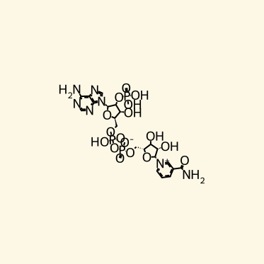 NC(=O)c1ccc[n+]([C@@H]2O[C@H](COP(=O)([O-])OP(=O)(O)OC[C@H]3O[C@@H](n4cnc5c(N)ncnc54)C(OP(=O)(O)O)[C@H]3O)C(O)[C@@H]2O)c1